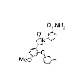 COc1ccc(C2CC(=O)N(c3cccc(C(N)=O)c3)C2)c(Oc2cccc(C)c2)c1